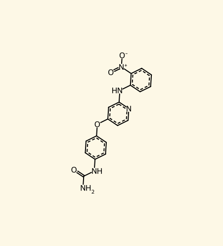 NC(=O)Nc1ccc(Oc2ccnc(Nc3ccccc3[N+](=O)[O-])c2)cc1